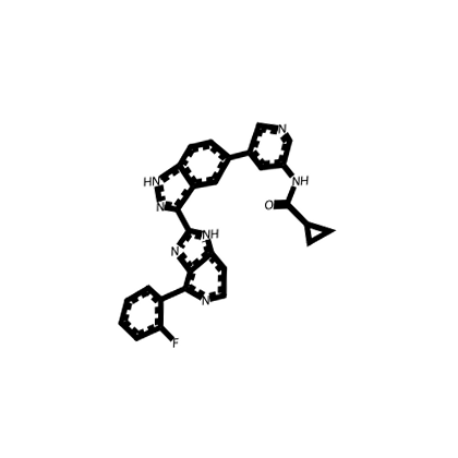 O=C(Nc1cncc(-c2ccc3[nH]nc(-c4nc5c(-c6ccccc6F)nccc5[nH]4)c3c2)c1)C1CC1